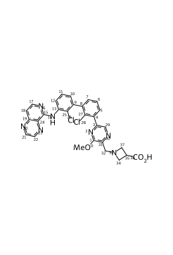 COc1nc(-c2cccc(-c3cccc(Nc4nccc5nccnc45)c3Cl)c2Cl)cnc1CN1CC(C(=O)O)C1